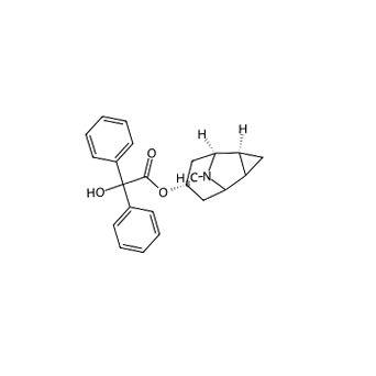 CN1C2C[C@H](OC(=O)C(O)(c3ccccc3)c3ccccc3)C[C@H]1[C@H]1CC21